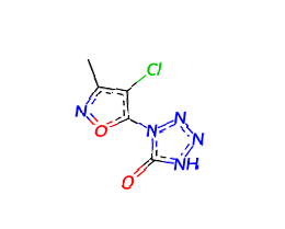 Cc1noc(-n2nn[nH]c2=O)c1Cl